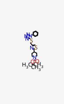 CC(C)(C)OC(=O)N1CCC(c2nc(CSc3nnnn3-c3ccccc3)cs2)CC1